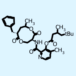 Cc1ccnc(C(=O)N[C@H]2COC(=O)[C@H](Cc3ccccc3)CC(C)OC2=O)c1OC(=O)CC(C)CC(C)(C)C